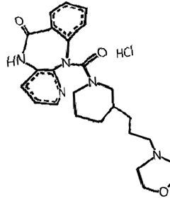 Cl.O=C1Nc2cccnc2N(C(=O)N2CCCC(CCCN3CCOCC3)C2)c2ccccc21